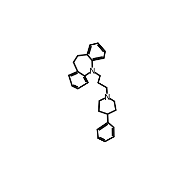 c1ccc(C2CCN(CCCN3c4ccccc4CCc4ccccc43)CC2)cc1